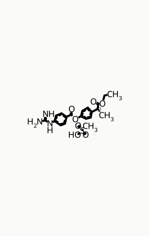 CCOC(=O)[C@@H](C)c1ccc(OC(=O)c2ccc(NC(=N)N)cc2)cc1.CS(=O)(=O)O